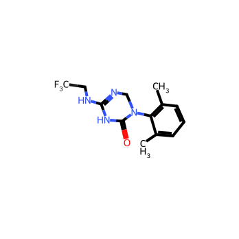 Cc1cccc(C)c1N1CN=C(NCC(F)(F)F)NC1=O